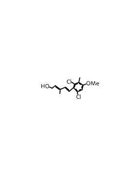 COc1cc(Cl)c(/C=C/C(C)=C/CO)c(Cl)c1C